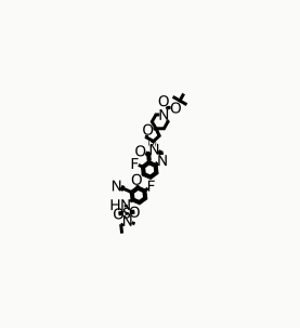 CCN(C)S(=O)(=O)Nc1ccc(F)c(Oc2ccc3ncn([C@@H]4COC5(CCN(C(=O)OC(C)(C)C)CC5)C4)c(=O)c3c2F)c1C#N